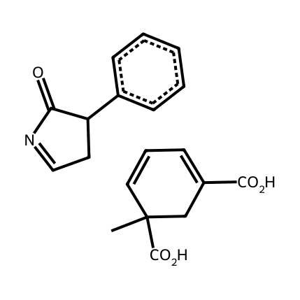 CC1(C(=O)O)C=CC=C(C(=O)O)C1.O=C1N=CCC1c1ccccc1